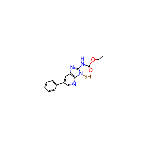 CCOC(=O)Nc1nc2cc(-c3ccccc3)cnc2n1S